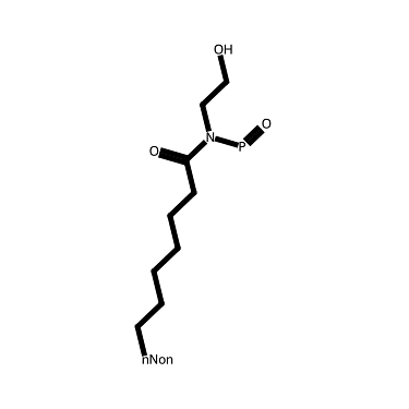 CCCCCCCCCCCCCCCC(=O)N(CCO)P=O